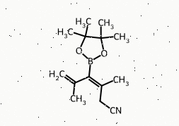 C=C(C)/C(B1OC(C)(C)C(C)(C)O1)=C(/C)CC#N